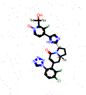 [2H]C([2H])(O)c1c(F)c(-c2cnc([C@@H]3CC[C@@H]4CC(c5c(-n6cnnn6)ccc(Cl)c5F)=CC(=O)N43)[nH]2)cc[n+]1[O-]